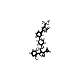 COC(=O)c1cc(-c2cccc(N3CCC(OCc4c(-c5c(Cl)cccc5Cl)noc4C4CC4)CC3)c2)nn1C